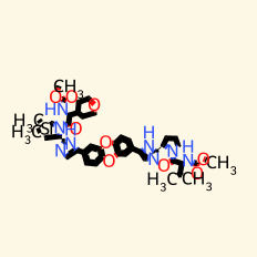 COC(=O)N[C@H](C(=O)N1CCC[C@H]1c1ncc(-c2ccc3c(c2)Oc2ccc(-c4cnc([C@@H]5C[Si](C)(C)CN5C(=O)[C@@H](NC(=O)OC)C5CCOCC5)[nH]4)cc2O3)[nH]1)C(C)C